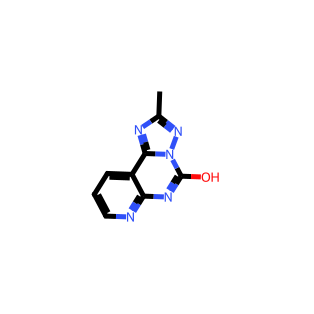 Cc1nc2c3cccnc3nc(O)n2n1